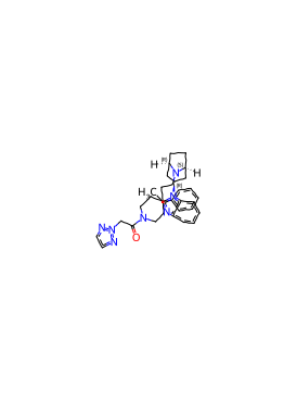 Cc1nc2ccccc2n1[C@H]1C[C@H]2CC[C@@H](C1)N2CCC1(c2ccccc2)CCN(C(=O)Cn2nccn2)CC1